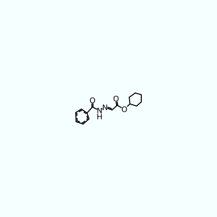 O=C(C=NNC(=O)c1ccccc1)OC1CCCCC1